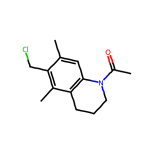 CC(=O)N1CCCc2c1cc(C)c(CCl)c2C